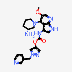 COc1cnc2[nH]cc(NC(=O)Oc3cnn(Cc4cccnc4)c3)c2c1N1CCC[C@@H](N)C1